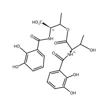 CC(O)[C@@H](NC(=O)c1cccc(O)c1O)C(=O)OC(C)[C@@H](NC(=O)c1cccc(O)c1O)C(=O)O